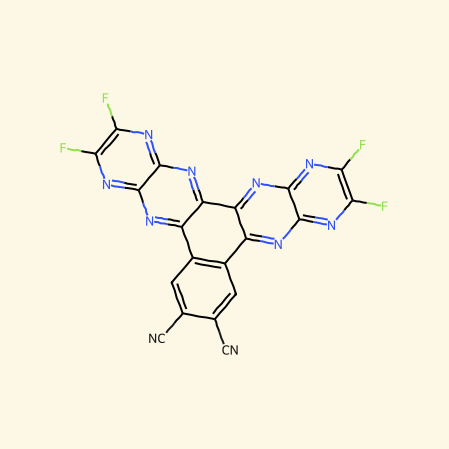 N#Cc1cc2c(cc1C#N)c1nc3nc(F)c(F)nc3nc1c1nc3nc(F)c(F)nc3nc21